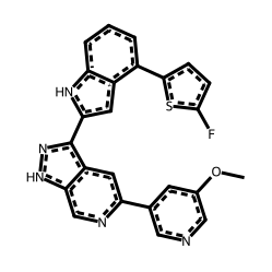 COc1cncc(-c2cc3c(-c4cc5c(-c6ccc(F)s6)cccc5[nH]4)n[nH]c3cn2)c1